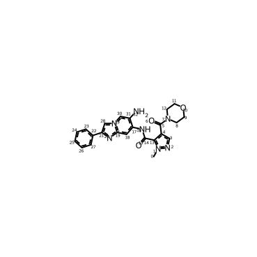 Cn1ncc(C(=O)N2CCOCC2)c1C(=O)Nc1cc2nc(-c3ccccc3)cn2cc1N